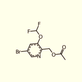 CC(=O)OCc1ncc(Br)cc1OC(F)F